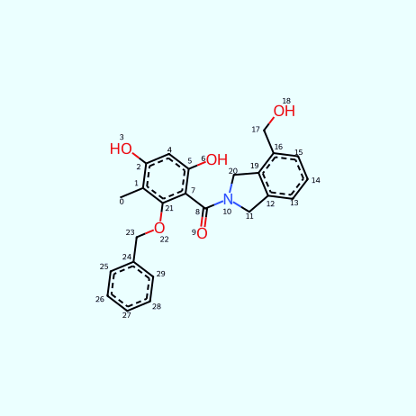 Cc1c(O)cc(O)c(C(=O)N2Cc3cccc(CO)c3C2)c1OCc1ccccc1